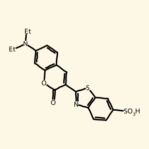 CCN(CC)c1ccc2cc(-c3nc4ccc(S(=O)(=O)O)cc4s3)c(=O)oc2c1